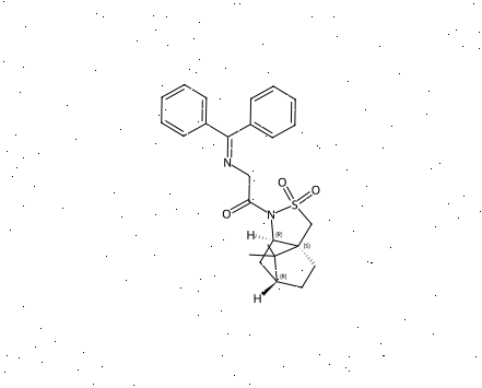 CC1(C)[C@@H]2CC[C@]13CS(=O)(=O)N(C(=O)CN=C(c1ccccc1)c1ccccc1)[C@@H]3C2